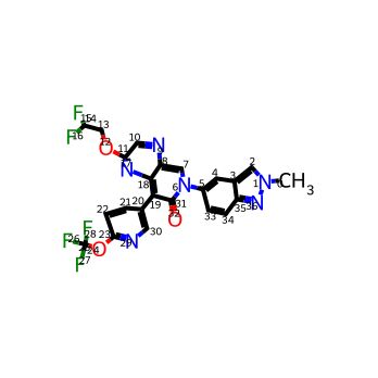 Cn1cc2cc(-n3cc4ncc(OCC(F)F)nc4c(-c4ccc(OC(F)(F)F)nc4)c3=O)ccc2n1